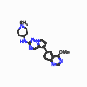 COc1ncnc2ccc(-c3ccn4nc(NC5CCN(C)CC5)ncc34)cc12